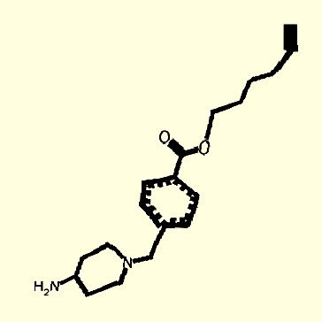 C#CCCCCOC(=O)c1ccc(CN2CCC(N)CC2)cc1